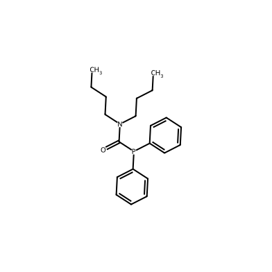 CCCCN(CCCC)C(=O)P(c1ccccc1)c1ccccc1